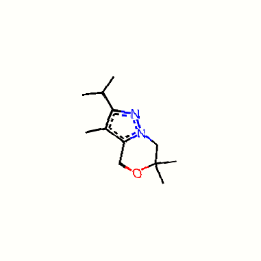 Cc1c(C(C)C)nn2c1COC(C)(C)C2